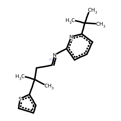 CC(C)(C)c1cccc(/N=C/CC(C)(C)c2cccs2)n1